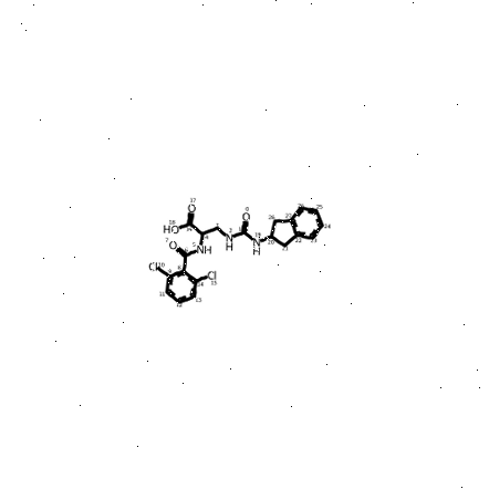 O=C(NCC(NC(=O)c1c(Cl)cccc1Cl)C(=O)O)NC1Cc2ccccc2C1